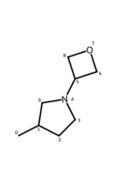 CC1CCN(C2COC2)C1